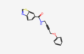 O=C(NCC#CCOc1ccccc1)c1ccc2ncsc2c1